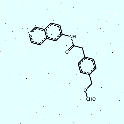 O=COCc1ccc(CC(=O)Nc2ccc3cnccc3c2)cc1